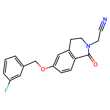 N#CCN1CCc2cc(OCc3cccc(F)c3)ccc2C1=O